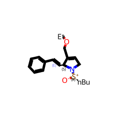 CCCC[S@+]([O-])N1CC=C(COCC)[C@@H]1/C=C/c1ccccc1